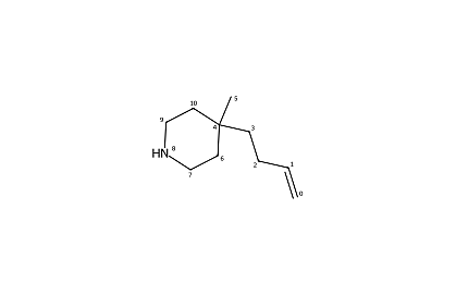 C=CCCC1(C)CCNCC1